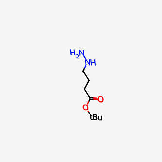 CC(C)(C)OC(=O)CCCNN